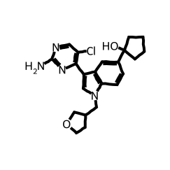 Nc1ncc(Cl)c(-c2cn(CC3CCOC3)c3ccc(C4(O)CCCC4)cc23)n1